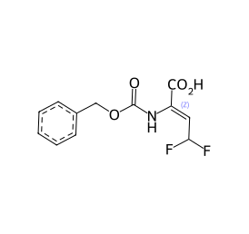 O=C(N/C(=C\C(F)F)C(=O)O)OCc1ccccc1